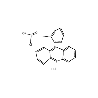 Cc1ccccc1.Cl.O=S([O-])Cl.c1ccc2[s+]c3ccccc3nc2c1